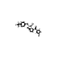 O=C([C@H]1CCc2nn(Cc3ccc(C(F)(F)F)nc3)c(=O)n21)N1CC[C@H](F)C1